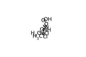 CCn1c(C)c(Cl)c(Cl)c1C(=O)Nc1nc2ccc(C(=O)O)cc2s1